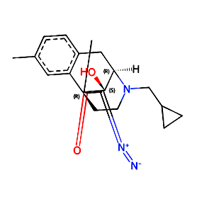 Cc1ccc2c(c1)[C@]13CCN(CC4CC4)[C@H](C2)[C@]1(O)CC(=[N+]=[N-])C(=O)C3